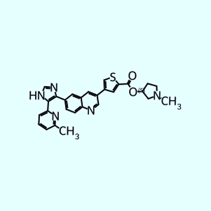 Cc1cccc(-c2[nH]cnc2-c2ccc3ncc(-c4csc(C(=O)O[C@H]5CCN(C)C5)c4)cc3c2)n1